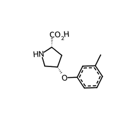 Cc1cccc(O[C@@H]2CN[C@H](C(=O)O)C2)c1